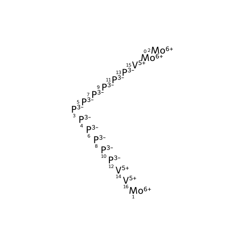 [Mo+6].[Mo+6].[Mo+6].[P-3].[P-3].[P-3].[P-3].[P-3].[P-3].[P-3].[P-3].[P-3].[P-3].[P-3].[V+5].[V+5].[V+5]